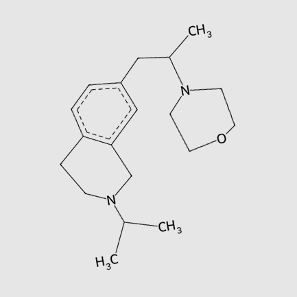 CC(C)N1CCc2ccc(CC(C)N3CCOCC3)cc2C1